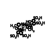 Cc1ccc(NC(=O)Nc2ccc(C)c(C(=O)Nc3ccc(S(=O)(=O)O)c4cc(S(=O)(=O)O)cc(O)c34)c2)cc1C(=O)Nc1ccc(S(=O)(=O)O)c2cc(S(=O)(=O)O)cc(O)c12